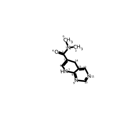 CN(C)C(=O)C1=CNc2ncncc2C1